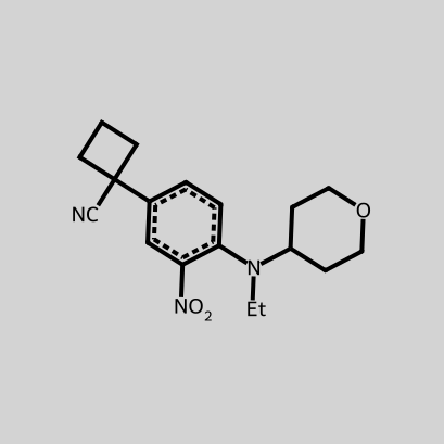 CCN(c1ccc(C2(C#N)CCC2)cc1[N+](=O)[O-])C1CCOCC1